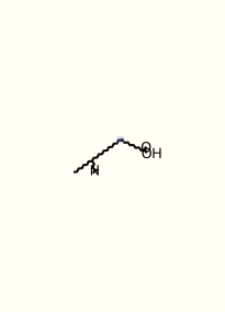 CCCCCCCC(CCCCCCCCCC/C=C\CCCCCCCC(=O)O)CCN(C)C